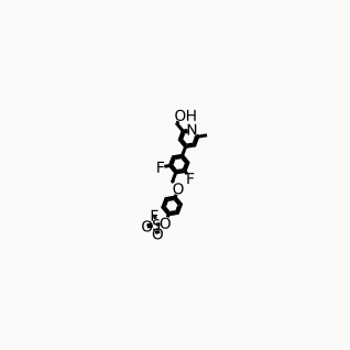 Cc1cc(-c2cc(F)c(COc3ccc(OS(=O)(=O)F)cc3)c(F)c2)cc(CO)n1